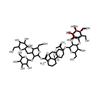 C=C1C[C@@]23CCC4[C@](C)(C(=O)OC5OC(CO)C(O)C(CC6OC(CO)C(O)C(O)C6O)C5OC5OC(CO)C(O)C(O)C5O)CCC[C@@]4(C)[C@@H]2CCC1(OC1OC(CO)C(O)C(OC2OC(CO)C(O)C(O)C2O)C1OC1OC(CO)C(O)C(O)C1O)C3